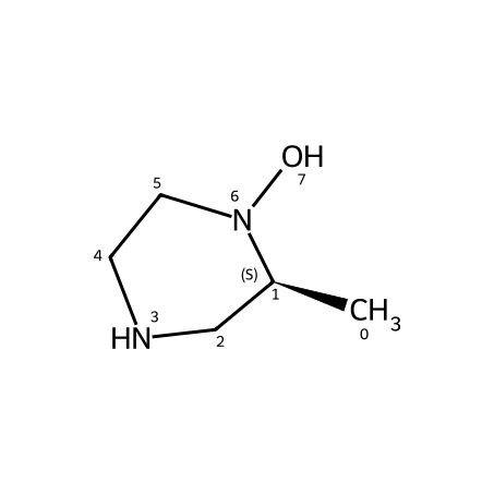 C[C@H]1CNCCN1O